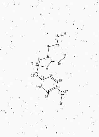 CCCCCCC(C)(CCCC)Oc1ccc(OC)nc1